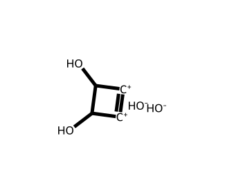 OC1[C+]=[C+]C1O.[OH-].[OH-]